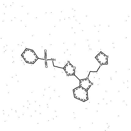 O=S(=O)(NCc1noc(-c2c3ccccc3nn2CCn2ccnc2)n1)c1ccccc1